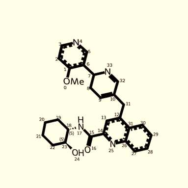 COc1ccncc1C1CC=C(Cc2cc(C(=O)N[C@H]3CCCC[C@@H]3O)nc3ccccc23)C=N1